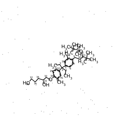 CCC(CC)(c1ccc(CCC(O[Si](C)(C)C(C)(C)C)C(C)(C)C)c(C)c1)c1ccc(OC[C@@H](O)CCCO)c(C)c1